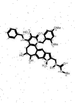 CCN(Cc1cc2cc3c(cc2n1C)C(O)C(O)Cc1c(OCc2ccccc2)c(C(=O)O)c(=O)n(Cc2ccc(OC)cc2OC)c1-3)C(=O)OC(C)(C)C